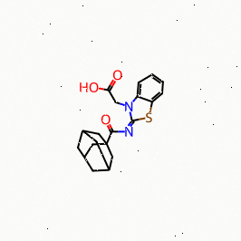 O=C(O)Cn1c(=NC(=O)C23CC4CC(CC(C4)C2)C3)sc2ccccc21